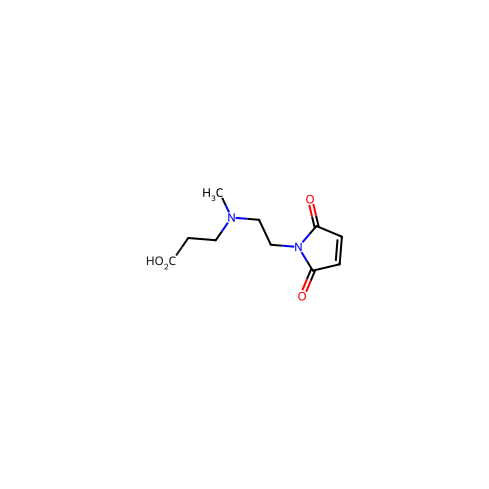 CN(CCC(=O)O)CCN1C(=O)C=CC1=O